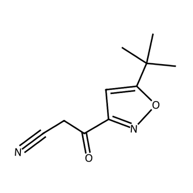 CC(C)(C)c1cc(C(=O)CC#N)no1